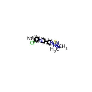 CN(C)c1nsc(N2CCC(C3CCN(c4ccc(C#N)c(Cl)c4)CC3)CC2)n1